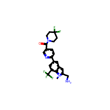 Cn1c(CN)cc2cc(-c3ccc(C(=O)N4CCC(F)(F)CC4)cn3)cc(C(F)(F)F)c21